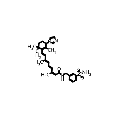 CC1=C(/C=C/C(C)=C/C=C/C(C)=C\C(=O)NCc2cccc(S(N)(=O)=O)c2)C(C)(C)CCC1n1ccnc1